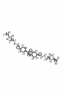 CN(C)[C@@H]1CCN(CCCOc2ccc(-c3nc4ccc(OCCCN5CC[C@@H](N(C)C)C5)cc4o3)cc2)C1